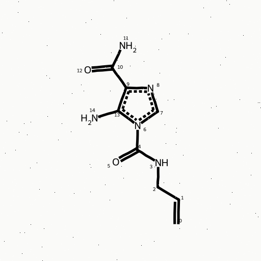 C=CCNC(=O)n1cnc(C(N)=O)c1N